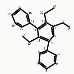 CCc1[c]c(-c2ccccc2)c(CC)c(-c2ccccc2)c1CC